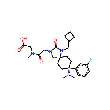 CN(CC(=O)O)C(=O)CN1C[C@]2(CC[C@](c3cccc(F)c3)(N(C)C)CC2)N(CC2CCC2)C1=O